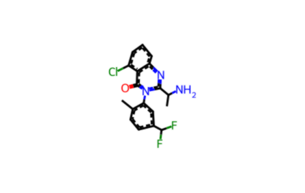 Cc1ccc(C(F)F)cc1-n1c(C(C)N)nc2cccc(Cl)c2c1=O